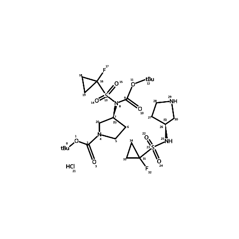 CC(C)(C)OC(=O)N1CC[C@H](N(C(=O)OC(C)(C)C)S(=O)(=O)C2(F)CC2)C1.Cl.O=S(=O)(N[C@H]1CCNC1)C1(F)CC1